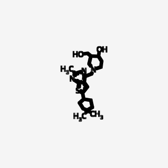 Cc1nc(CN2CCC(O)C(CO)C2)c2cc(C3CCC(C)(C)CC3)sc2n1